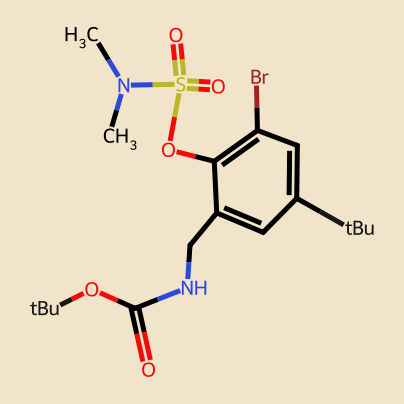 CN(C)S(=O)(=O)Oc1c(Br)cc(C(C)(C)C)cc1CNC(=O)OC(C)(C)C